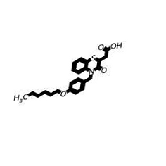 CCCCCCOc1ccc(CN2C(=O)C(CC(=O)O)Sc3ccccc32)cc1